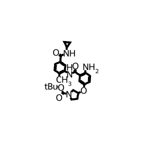 Cc1ccc(C(=O)NC2CC2)cc1NC(=O)c1cc(OC2CCN(C(=O)OC(C)(C)C)C2)ccc1N